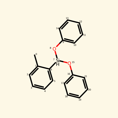 Cc1ccccc1[SiH](Oc1ccccc1)Oc1ccccc1